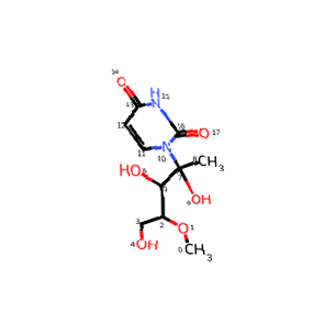 COC(CO)C(O)C(C)(O)n1ccc(=O)[nH]c1=O